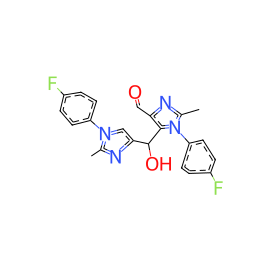 Cc1nc(C(O)c2c(C=O)nc(C)n2-c2ccc(F)cc2)cn1-c1ccc(F)cc1